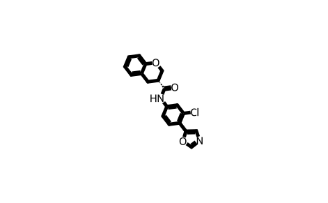 O=C(Nc1ccc(-c2cnco2)c(Cl)c1)[C@H]1COc2ccccc2C1